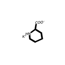 O=C([O-])C1CCCCN1.[K+]